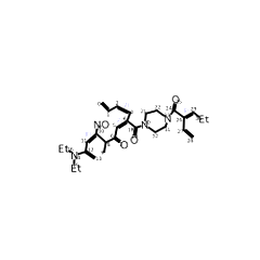 C=C/C=C\C(=C\C(=O)C(C)/C(=C\C(=C)N(CC)CC)N=O)C(=O)N1CCN(C(=O)/C(C=C)=C/CC)CC1